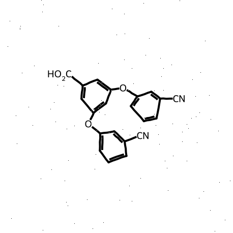 N#Cc1cccc(Oc2cc(Oc3cccc(C#N)c3)cc(C(=O)O)c2)c1